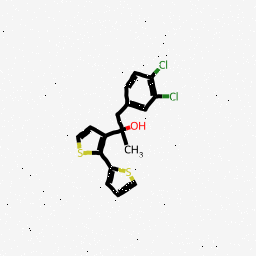 CC(O)(Cc1ccc(Cl)c(Cl)c1)c1ccsc1-c1cccs1